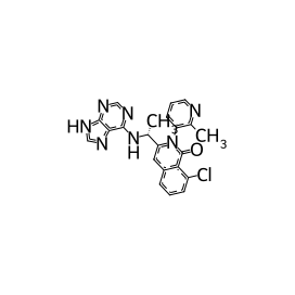 Cc1ncccc1-n1c([C@@H](C)Nc2ncnc3[nH]cnc23)cc2cccc(Cl)c2c1=O